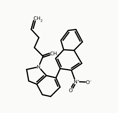 C=CCCC(=C)N1CCC2=C1C(C1=CC3C=CC=CC3C=C1[N+](=O)[O-])=CCC2